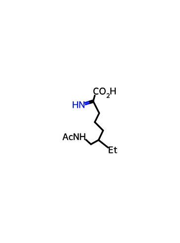 CCC(CCCC(=N)C(=O)O)CNC(C)=O